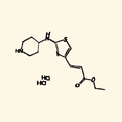 CCOC(=O)/C=C/c1csc(NC2CCNCC2)n1.Cl.Cl